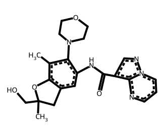 Cc1c2c(cc(NC(=O)c3cnn4cccnc34)c1N1CCOCC1)CC(C)(CO)O2